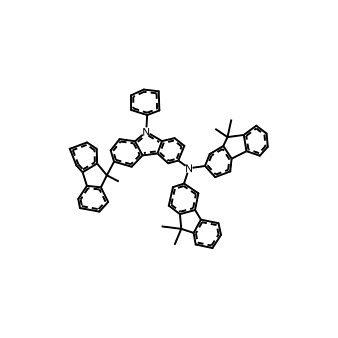 CC1(C)c2ccccc2-c2cc(N(c3ccc4c(c3)C(C)(C)c3ccccc3-4)c3ccc4c(c3)c3cc(C5(C)c6ccccc6-c6ccccc65)ccc3n4-c3ccccc3)ccc21